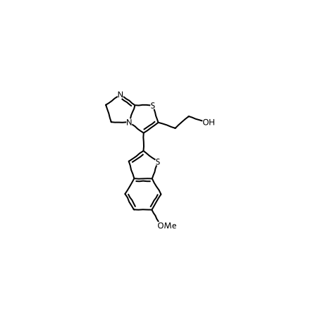 COc1ccc2cc(C3=C(CCO)SC4=NCCN43)sc2c1